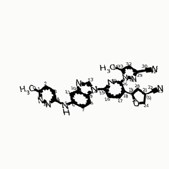 Cc1ccc(Nc2ccc3c(c2)ncn3-c2ccc([C@H]3C[C@@H](C#N)CO3)c(-n3nc(C#N)cc3C)n2)nn1